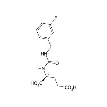 O=C(O)CC[C@H](NC(=O)NCc1cccc(F)c1)C(=O)O